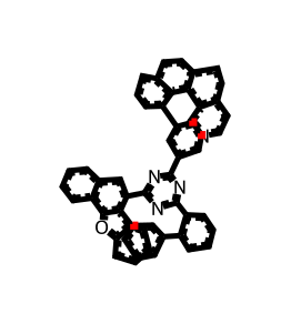 c1ccc(-c2ccccc2-c2nc(-c3cccc(-c4cccc5ccc6ccc7ccncc7c6c45)c3)nc(-c3cc4ccccc4c4oc5ccccc5c34)n2)cc1